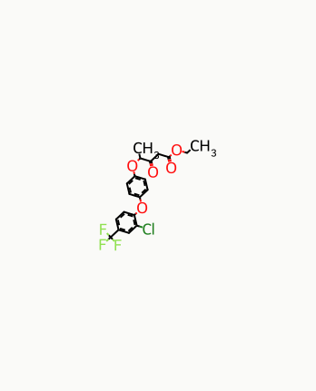 CCOC(=O)CC(=O)C(C)Oc1ccc(Oc2ccc(C(F)(F)F)cc2Cl)cc1